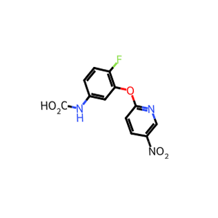 O=C(O)Nc1ccc(F)c(Oc2ccc([N+](=O)[O-])cn2)c1